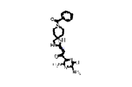 Nc1nc(N)c(C(=O)/C=C2\NCC3(CCN(C(=O)c4ccccc4)CC3)N2)nc1Cl